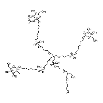 COCCCOCC(CO)COCCCOP(=O)(O)OCC(COCCCOP(=O)(O)OCCCCCCOC1OC(CO)[C@H](O)[C@H](O)[C@@H]1C)(COCCCOP(=O)(O)OCCCCCCO[C@@H]1OC(CO)[C@H](O)[C@H](O)C1C)COCCCOP(=O)(O)OCCCCCCO[C@@H]1OC(CO)[C@H](O)[C@H](O)C1NC(C)=O